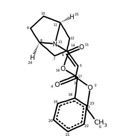 CCOC(=O)/C=C1\C[C@H]2CC[C@@H](C1)N2C(=O)OCc1ccccc1